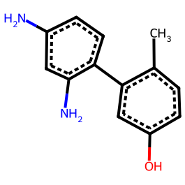 Cc1ccc(O)cc1-c1ccc(N)cc1N